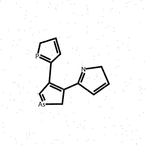 [C]1=[As]CC(C2=NCC=C2)=C1C1=PCC=C1